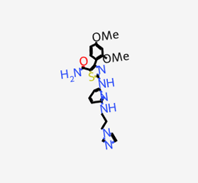 COc1ccc(-c2nc(Nc3cccc(NCCCn4ccnc4)n3)sc2C(N)=O)c(OC)c1